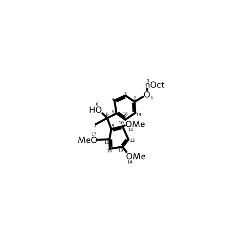 CCCCCCCCOc1ccc(C(C)(O)c2c(OC)cc(OC)cc2OC)cc1